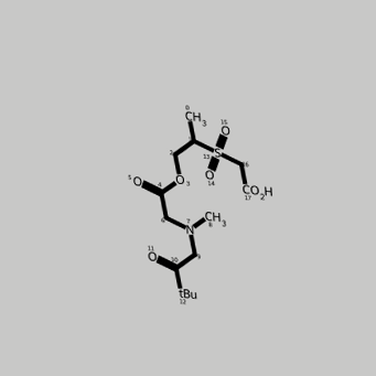 CC(COC(=O)CN(C)CC(=O)C(C)(C)C)S(=O)(=O)CC(=O)O